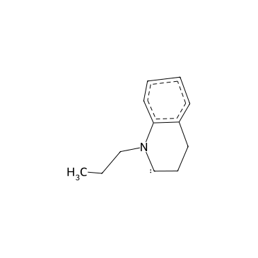 CCCN1[C]CCc2ccccc21